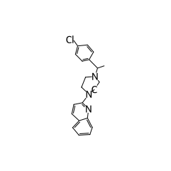 CC(c1ccc(Cl)cc1)N1CCN(c2ccc3ccccc3n2)CC1